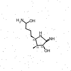 C[C@@H]1[C@H](O)C(=N)N[C@@H]1CCCC(N)O